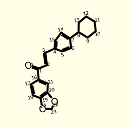 O=C(C=Cc1ccc(C2CCCCC2)cc1)c1ccc2c(c1)OCO2